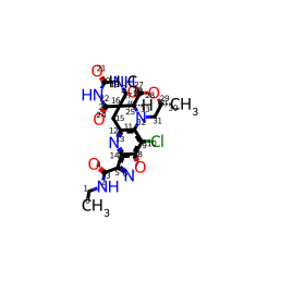 CCNC(=O)c1noc2c(Cl)c3c(nc12)CC1(C(=O)NC(=O)NC1=O)[C@H]1[C@H](C)O[C@H](C)CN31